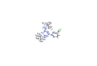 [2H]C([2H])([2H])C([2H])(Nc1nc(NC([2H])(C)C(F)(F)F)nc(-c2cccc(Cl)n2)n1)C(F)(F)F